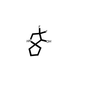 OC1C(F)(F)CNC12CCCC2